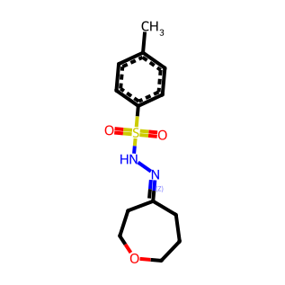 Cc1ccc(S(=O)(=O)N/N=C2/CCCOCC2)cc1